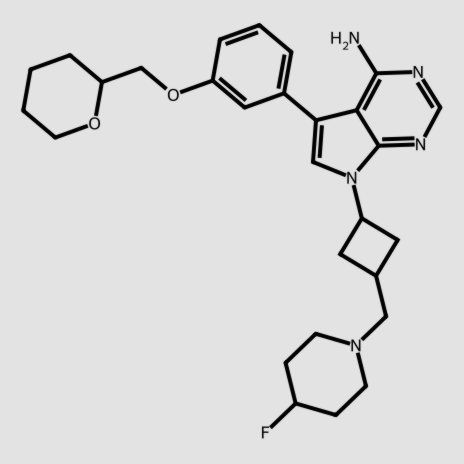 Nc1ncnc2c1c(-c1cccc(OCC3CCCCO3)c1)cn2C1CC(CN2CCC(F)CC2)C1